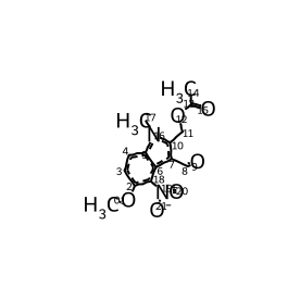 COc1ccc2c(c(C=O)c(COC(C)=O)n2C)c1[N+](=O)[O-]